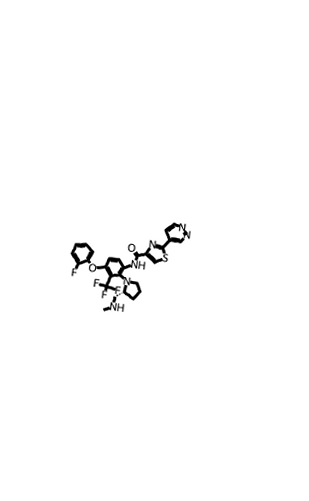 CNC[C@H]1CCCN1c1c(NC(=O)c2csc(-c3ccnnc3)n2)ccc(Oc2ccccc2F)c1C(F)(F)F